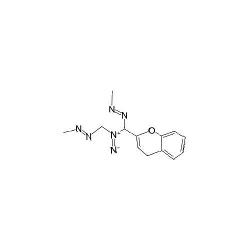 CN=NC[N+](=[N-])C(N=NC)C1=CCc2ccccc2O1